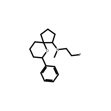 CN(CCF)C1CCCC12CCCC(c1ccccc1)O2